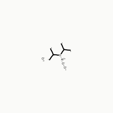 CC(C)OC(C)C.[Al+3].[Cl-].[Cl-].[Cl-]